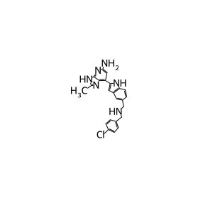 Cc1nc2c(-c3cc4cc(CNCc5ccc(Cl)cc5)ccc4[nH]3)cc(N)nc2[nH]1